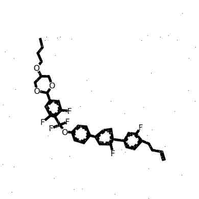 C=CCCc1ccc(-c2ccc(-c3ccc(OC(F)(F)c4c(F)cc(C5OCC(OCCCC)CO5)cc4F)cc3)cc2F)cc1F